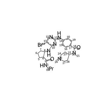 CC(C)NC(=O)C1CCCC1Nc1nc(Nc2ccc(C(=O)N(C)C3CCN(C)CC3)cc2)ncc1Br